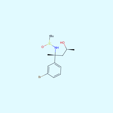 C[C@H](O)C[C@@](C)(N[S+]([O-])C(C)(C)C)c1cccc(Br)c1